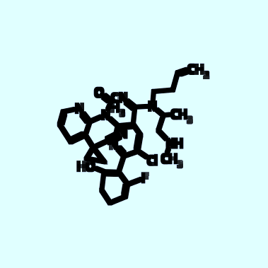 C=CCCN(/C(=N/C)c1cc(Cl)c(C2=C(O)CCC=C2F)nc1N(C=O)c1ncccc1C1(C#N)CC1)C(C)CNC